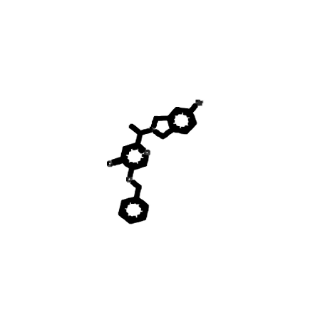 CC(c1cc(=O)c(OCc2ccccc2)co1)N1Cc2ccc(Br)cc2C1